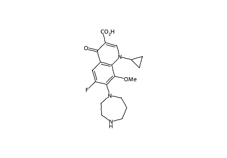 COc1c(N2CCCNCC2)c(F)cc2c(=O)c(C(=O)O)cn(C3CC3)c12